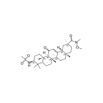 CON(C)C(=O)[C@@]1(C)CC[C@]2(C)CC[C@]3(C)C(=CC(=O)[C@@H]4[C@@]5(C)CC[C@H](NS(C)(=O)=O)C(C)(C)C5CC[C@]43C)[C@@H]2C1